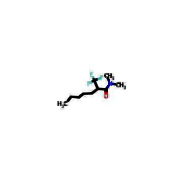 CCCCCC(C(=O)N(C)C)C(F)(F)F